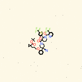 CCC[C@H]1N(C(=O)c2ncccc2C(F)(F)F)CCC[C@@]1(Oc1csc(C(F)(F)F)c1)C(=O)N1CCC(C#N)(c2ccccc2OCCCC2(C(=O)OC(C)(C)C)CC2)CC1